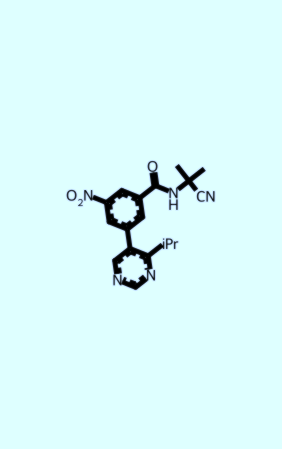 CC(C)c1ncncc1-c1cc(C(=O)NC(C)(C)C#N)cc([N+](=O)[O-])c1